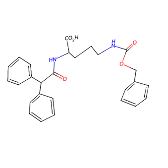 O=C(NCCCC(NC(=O)C(c1ccccc1)c1ccccc1)C(=O)O)OCc1ccccc1